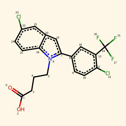 O=C(O)CCCn1c(-c2ccc(Cl)c(C(F)(F)F)c2)cc2cc(Cl)ccc21